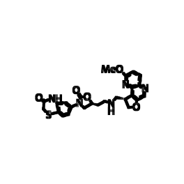 COc1ccc2ncc3c(c2n1)[C@H](CNCC[C@H]1CN(c2ccc4c(c2)NC(=O)CS4)C(=O)O1)CO3